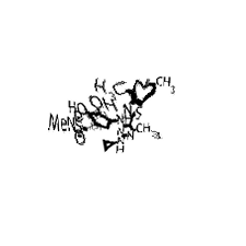 CNS(=O)(=O)C[C@H]1CC(Nc2nc(NC3CC3)nc(C)c2-c2nc3c(C)nc(C)cc3s2)[C@H](O)[C@@H]1O